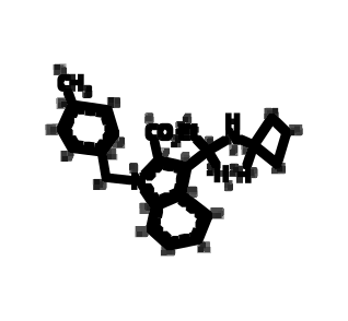 [2H]C1(NC([2H])([2H])c2c(C(=O)OCC)n(Cc3ccc(C)cc3)c3ccccc23)CCC1